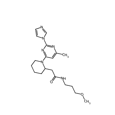 COCCCNC(=O)CC1CCCCN1c1cc(C)nc(-n2ccnc2)n1